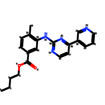 CCCCOC(=O)c1ccc(C)c(Nc2nccc(-c3cccnc3)n2)c1